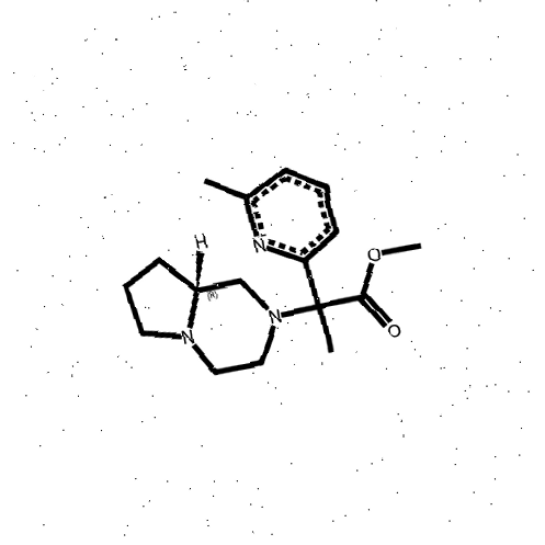 COC(=O)C(C)(c1cccc(C)n1)N1CCN2CCC[C@@H]2C1